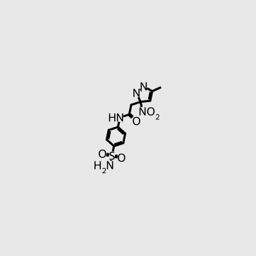 CC1=CC(CC(=O)Nc2ccc(S(N)(=O)=O)cc2)([N+](=O)[O-])N=N1